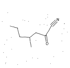 CCCC(C)CC(=O)C#N